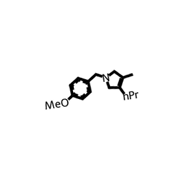 CCCC1=C(C)CN(Cc2ccc(OC)cc2)C1